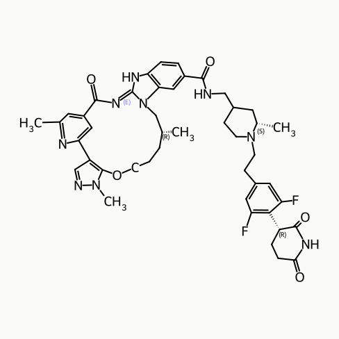 Cc1cc2cc(n1)-c1cnn(C)c1OCCC[C@@H](C)CN1/C(=N/C2=O)Nc2ccc(C(=O)NCC3CCN(CCc4cc(F)c([C@H]5CCC(=O)NC5=O)c(F)c4)[C@@H](C)C3)cc21